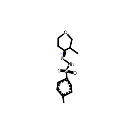 Cc1ccc(S(=O)(=O)N/N=C2/CCOCC2C)cc1